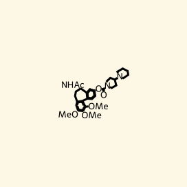 COc1cc2c(c(OC)c1OC)-c1ccc(OC(=O)N3CCC(N4CCCCC4)CC3)cc1C(NC(C)=O)CC2